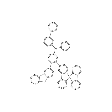 c1ccc(-c2cccc(N(c3ccccc3)c3ccc(-c4ccc5c(c4)-c4ccccc4C5)c(-c4ccc5c(c4)-c4ccccc4C54c5ccccc5-c5ccccc54)c3)c2)cc1